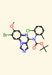 COc1cc2nc(N(C(=O)OC(C)(C)C)c3c(C)cccc3Cl)c3cncn3c2cc1Br